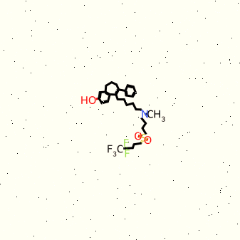 CN(CCCCCCC1=C(c2ccccc2)CCCc2cc(O)ccc21)CCCCS(=O)(=O)CCCC(F)(F)C(F)(F)F